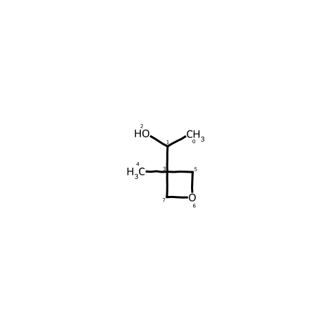 CC(O)C1(C)COC1